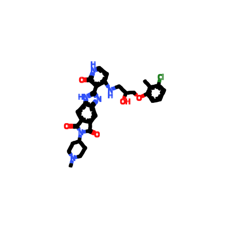 Cc1c(Cl)cccc1OCC(O)CNc1cc[nH]c(=O)c1-c1nc2cc3c(cc2[nH]1)C(=O)N(C1CCN(C)CC1)C3=O